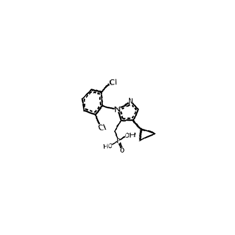 O=P(O)(O)Cc1c(C2CC2)cnn1-c1c(Cl)cccc1Cl